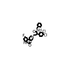 O=C1Nc2ccc(F)cc2C2(CCN(CCC(C(=O)NCc3ccccc3)c3ccc(Cl)c(Cl)c3)CC2)O1